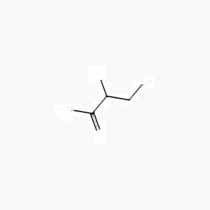 CC(C)CC(S)C(N)=O